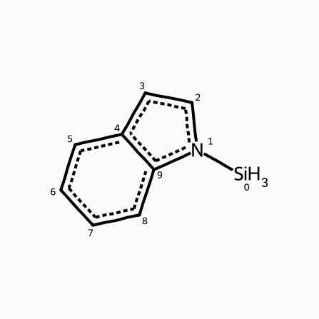 [SiH3]n1ccc2ccccc21